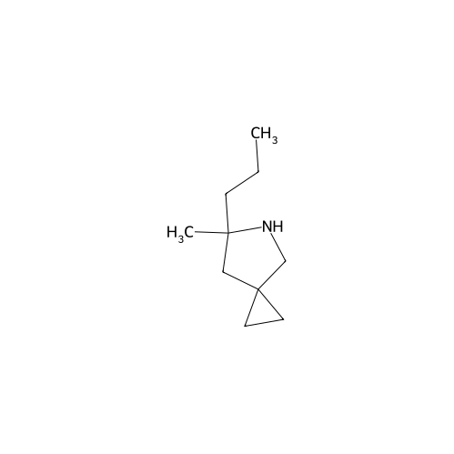 CCCC1(C)CC2(CC2)CN1